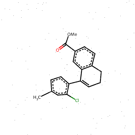 COC(=O)c1ccc2c(c1)C(c1ccc(C)cc1Cl)=CCC2